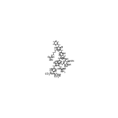 CCC(C)C(=O)NCCCCCC(=O)N[C@@H](Cc1ccccc1)C(=O)NCC(=O)N[C@@H](CC(=O)N[C@@H]1OC(CO)[C@@H](O)[C@H](O)C1NC(C)=O)C(=O)NCC(=O)N[C@@H](CCCNC(=N)N)C(=O)NCC(=O)N[C@@H](CC(=O)O)C(=O)N[C@@H](CO)C(=O)O